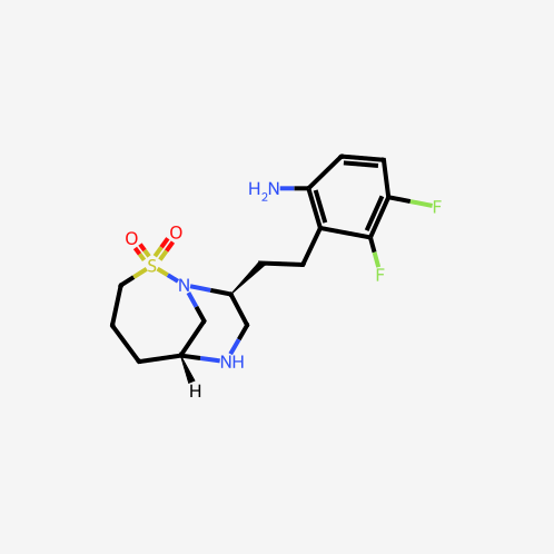 Nc1ccc(F)c(F)c1CC[C@H]1CN[C@@H]2CCCS(=O)(=O)N1C2